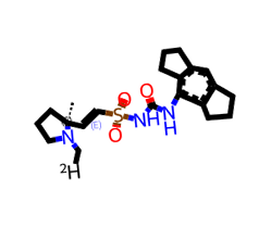 [2H]CN1CCC[C@@]1(C)/C=C/S(=O)(=O)NC(=O)Nc1c2c(cc3c1CCC3)CCC2